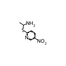 CC(N)Sc1ccc([N+](=O)[O-])cn1